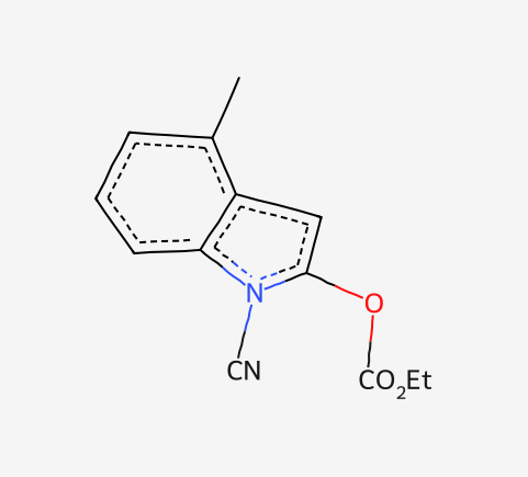 CCOC(=O)Oc1cc2c(C)cccc2n1C#N